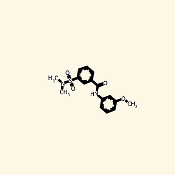 COc1cccc(NC(=O)c2cccc(S(=O)(=O)N(C)C)c2)c1